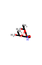 CCCCCC(CCCCC)CCOC(=O)CCCCCC(CCCCCC(=O)OCCC(CCCCC)CCCCC)NC1CCOCC1